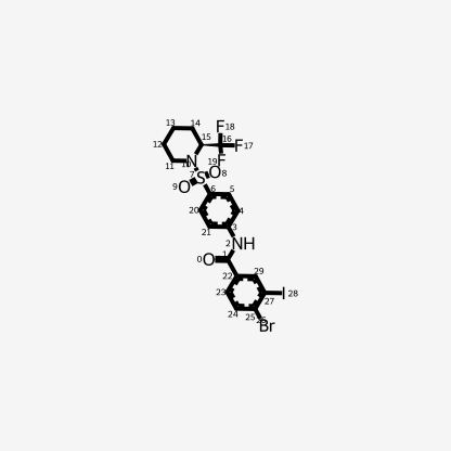 O=C(Nc1ccc(S(=O)(=O)N2CCCC[C@H]2C(F)(F)F)cc1)c1ccc(Br)c(I)c1